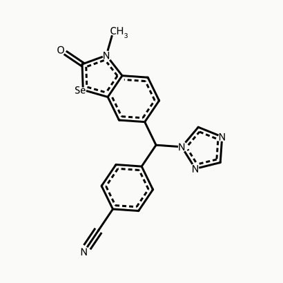 Cn1c(=O)[se]c2cc(C(c3ccc(C#N)cc3)n3cncn3)ccc21